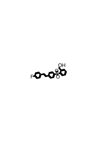 O=S(=O)(c1ccc(C=Cc2ccc(F)cc2)cc1)c1ccccc1CO